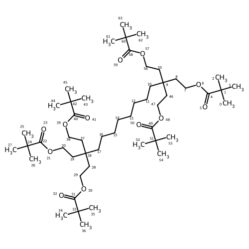 CC(C)(C)C(=O)OCCC(CCCCCCCCC(CCOC(=O)C(C)(C)C)(CCOC(=O)C(C)(C)C)CCOC(=O)C(C)(C)C)(CCOC(=O)C(C)(C)C)CCOC(=O)C(C)(C)C